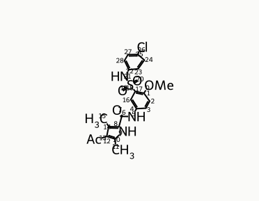 COc1ccc(NC(=O)c2[nH]c(C)c(C(C)=O)c2C)cc1S(=O)(=O)Nc1ccc(Cl)cc1